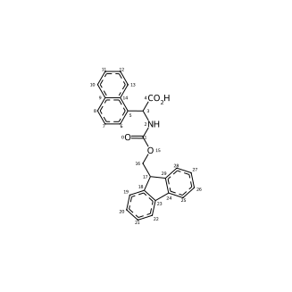 O=C(NC(C(=O)O)c1cccc2ccccc12)OCC1c2ccccc2-c2ccccc21